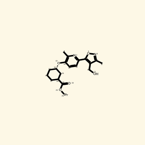 Cc1nc(-c2onc(C)c2CO)ccc1O[C@H]1CCCC(C(=O)OC(C)C)C1